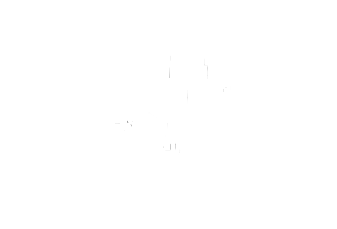 CC(CN)Cc1ccccc1Cl